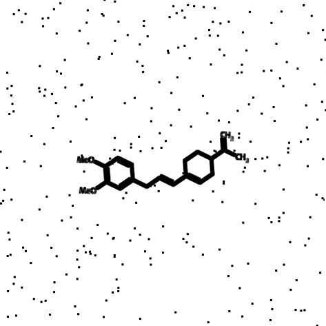 C=C(C)C1CC=C(/C=C/Cc2ccc(OC)c(OC)c2)CC1